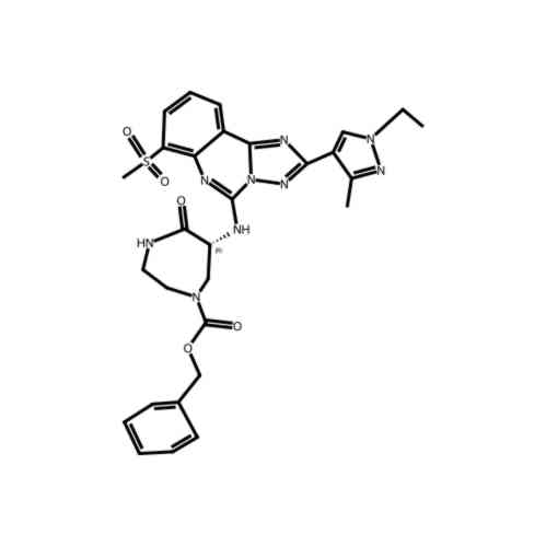 CCn1cc(-c2nc3c4cccc(S(C)(=O)=O)c4nc(N[C@@H]4CN(C(=O)OCc5ccccc5)CCNC4=O)n3n2)c(C)n1